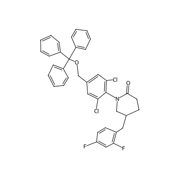 O=C1CCC(Cc2ccc(F)cc2F)CN1c1c(Cl)cc(COC(c2ccccc2)(c2ccccc2)c2ccccc2)cc1Cl